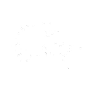 CN1CC[C@@]23CC[C@@H](CN(C2)c2nc(nc4c(F)c(-c5cc(O)cc6cccc(F)c56)ncc24)OC[C@]24CCCN2C[C@@H](C4)OCC1=O)N3